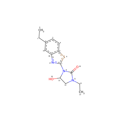 CCc1ccc2sc(N3C(=O)N(CC)CC3O)nc2c1